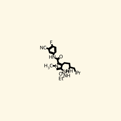 CCN[SH]1(=O)NC(CC(C)C)CCc2c1cn(C)c2C(=O)Nc1ccc(F)c(C#N)c1